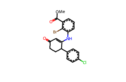 COC(=O)c1cccc(NC2=CC(=O)CCC2c2ccc(Cl)cc2)c1Br